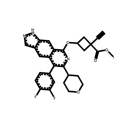 C#CC1(C(=O)OI)CC(Oc2nc(C3CCOCC3)c(-c3ccc(F)c(F)c3)c3cc4cn[nH]c4cc23)C1